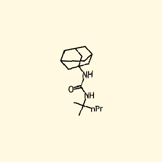 CCCC(C)(C)NC(=O)NC12CC3CC(CC(C3)C1)C2